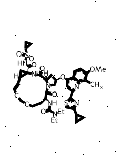 CCN(CC)C(=O)N[C@H]1CCCCC/C=C\[C@@H]2C[C@@]2(C(=O)NS(=O)(=O)C2CC2)NC(=O)[C@@H]2C[C@@H](Oc3cc(-c4nc(C5CC5)cs4)nc4c(C)c(OC)ccc34)CN2C1=O